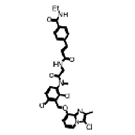 CCNC(=O)c1ccc(C=CC(=O)NCC(=O)N(C)c2ccc(Cl)c(COc3cccn4c(Cl)c(C)nc34)c2Cl)cc1